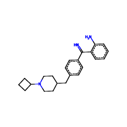 N=C(c1ccc(CC2CCN(C3CCC3)CC2)cc1)c1ccccc1N